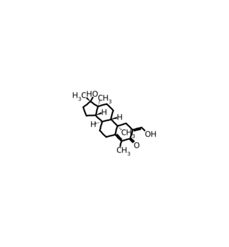 CC1=C2CC[C@@H]3[C@H](CC[C@@]4(C)[C@H]3CC[C@]4(C)O)[C@@]2(C)CC(=CO)C1=O